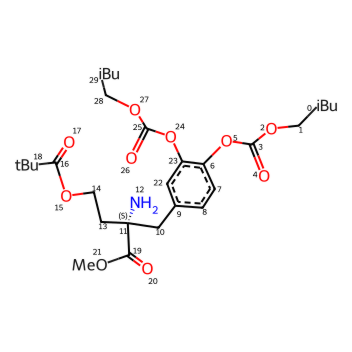 CCC(C)COC(=O)Oc1ccc(C[C@](N)(CCOC(=O)C(C)(C)C)C(=O)OC)cc1OC(=O)OCC(C)CC